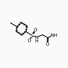 Cc1ccc(S(=O)(=O)NCC([NH])=O)cc1